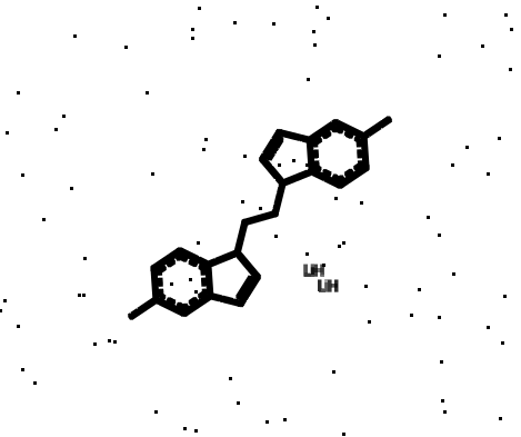 Cc1ccc2c(c1)C=CC2CCC1C=Cc2cc(C)ccc21.[LiH].[LiH]